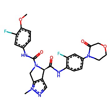 COc1ccc(NC(=O)N2Cc3c(cnn3C)[C@@H]2C(=O)Nc2ccc(N3CCOCC3=O)cc2F)cc1F